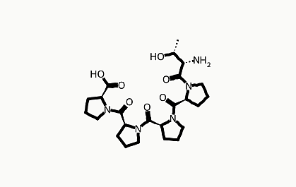 C[C@@H](O)[C@H](N)C(=O)N1CCC[C@H]1C(=O)N1CCC[C@H]1C(=O)N1CCC[C@H]1C(=O)N1CCC[C@H]1C(=O)O